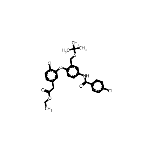 CCOC(=O)Cc1ccc(Cl)c(Oc2ccc(NC(=O)c3ccc(Cl)cc3)cc2CSC(C)(C)C)c1